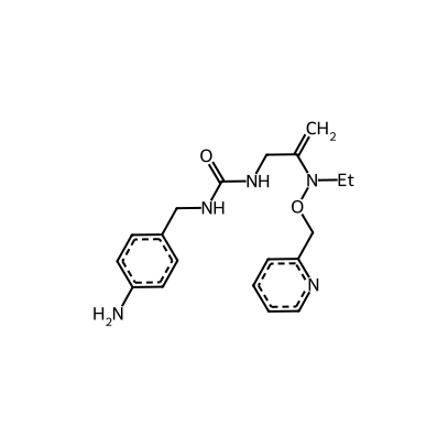 C=C(CNC(=O)NCc1ccc(N)cc1)N(CC)OCc1ccccn1